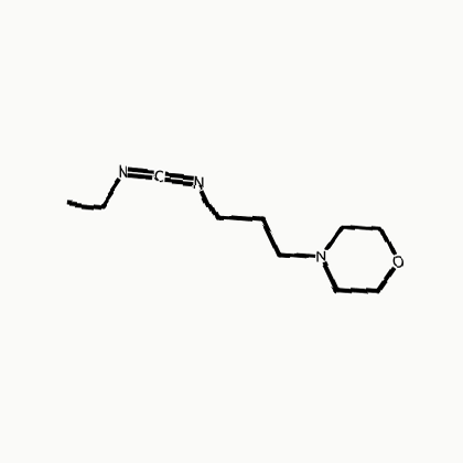 CCN=C=NCCCN1CCOCC1